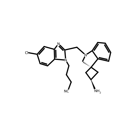 N#CCCCn1c(CN2C[C@]3(C[C@H](N)C3)c3ccccc32)nc2cc(Cl)ccc21